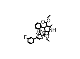 CCOC(=O)C1=C(C)NC(C)C(Nc2nc(-c3cccc(F)c3)cs2)(C(=O)OCC)C1c1ccccc1